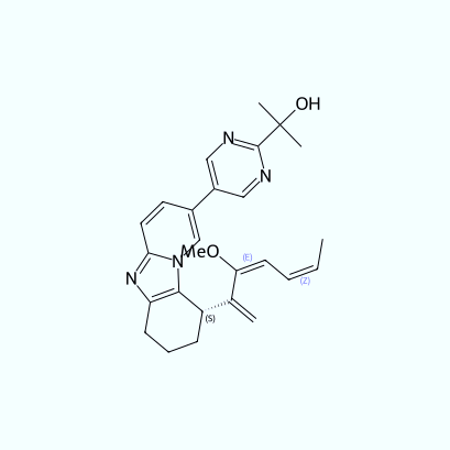 C=C(/C(=C\C=C/C)OC)[C@@H]1CCCc2nc3ccc(-c4cnc(C(C)(C)O)nc4)cn3c21